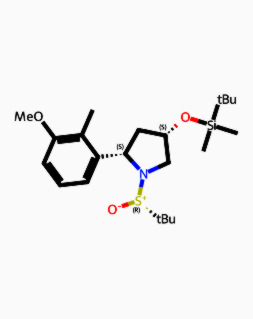 COc1cccc([C@@H]2C[C@H](O[Si](C)(C)C(C)(C)C)CN2[S@@+]([O-])C(C)(C)C)c1C